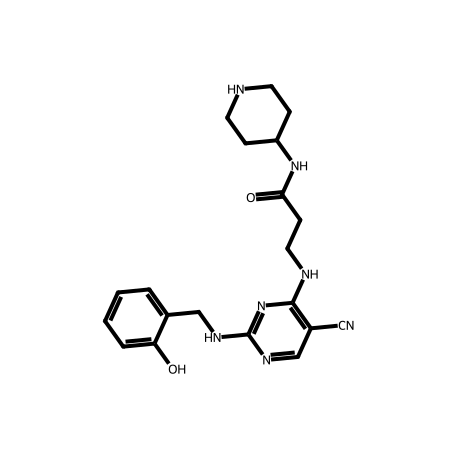 N#Cc1cnc(NCc2ccccc2O)nc1NCCC(=O)NC1CCNCC1